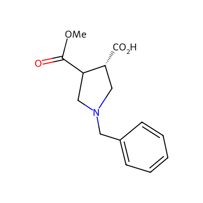 COC(=O)C1CN(Cc2ccccc2)C[C@H]1C(=O)O